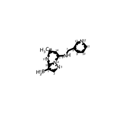 Bc1cnn2c(NCc3cccnc3)cc(C)nc12